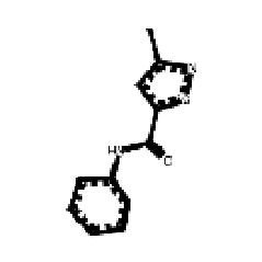 Cc1cc(C(=O)Nc2c[c]ccc2)on1